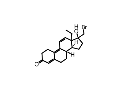 CC[C@]12C=CC3=C4CCC(=O)C=C4CC[C@H]3[C@@H]1CC[C@@]2(O)CBr